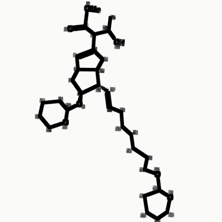 COC(=O)C(C1=CC2C[C@H](OC3CCCCO3)[C@@H](C=CCCCCCCOC3CCCCO3)C2C1)C(C)O